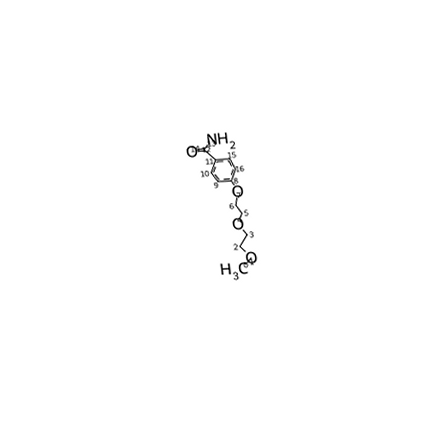 COCCOCCOc1ccc(C(N)=O)cc1